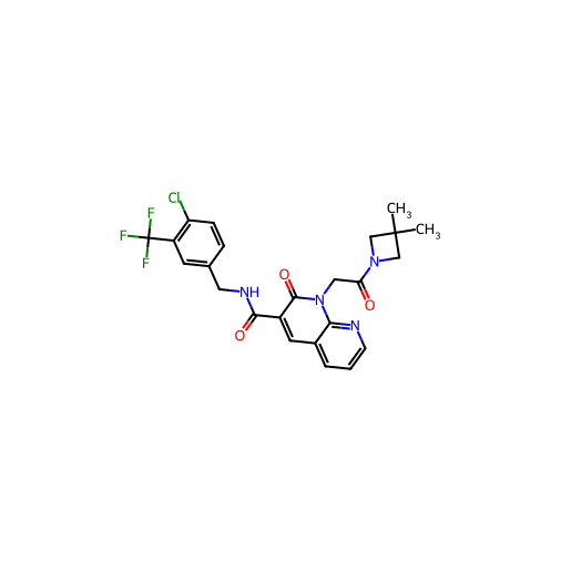 CC1(C)CN(C(=O)Cn2c(=O)c(C(=O)NCc3ccc(Cl)c(C(F)(F)F)c3)cc3cccnc32)C1